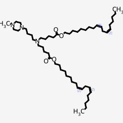 CCCCC/C=C\C/C=C\CCCCCCCCOC(=O)CCCCN(CCCCC(=O)OCCCCCCCC/C=C\C/C=C\CCCCC)CCCCN1CCN(C)CC1